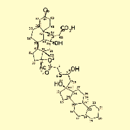 CC(=O)[C@@]1(OC(=O)CSC(O)C[C@@]2(O)CCC3C4CCC5CCCC[C@]5(C)C4CC[C@@]32C)CCC2C3CCC4=CC(=O)CC[C@]4(C)C3[C@](O)(SCC(=O)O)C[C@@]21C